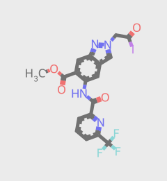 COC(=O)c1cc2nn(CC(=O)I)cc2cc1NC(=O)c1cccc(C(F)(F)F)n1